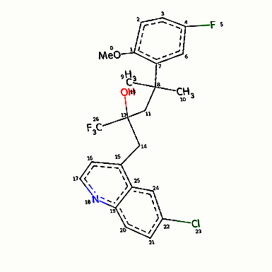 COc1ccc(F)cc1C(C)(C)CC(O)(Cc1ccnc2ccc(Cl)cc12)C(F)(F)F